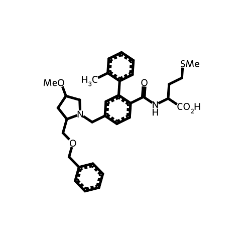 COC1CC(COCc2ccccc2)N(Cc2ccc(C(=O)NC(CCSC)C(=O)O)c(-c3ccccc3C)c2)C1